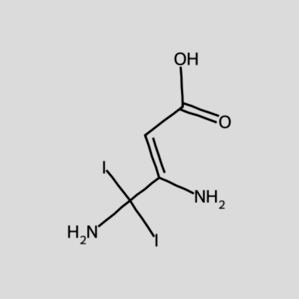 NC(=CC(=O)O)C(N)(I)I